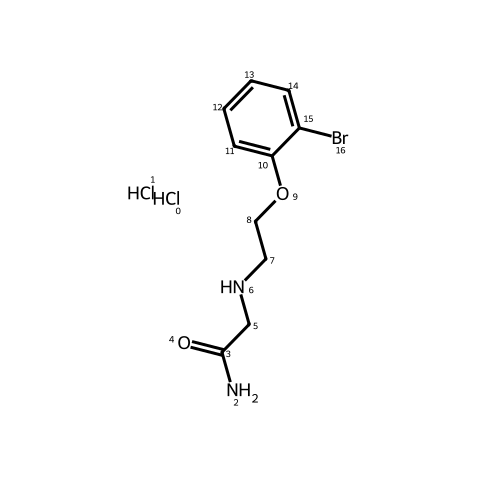 Cl.Cl.NC(=O)CNCCOc1ccccc1Br